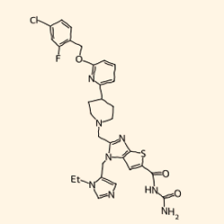 CCn1cncc1Cn1c(CN2CCC(c3cccc(OCc4ccc(Cl)cc4F)n3)CC2)nc2sc(C(=O)NC(N)=O)cc21